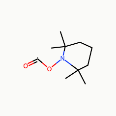 CC1(C)CCCC(C)(C)N1O[C]=O